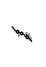 C/C=C/Oc1ccc(CCc2ccc(-c3ccc(CCCCC)cc3)c(F)c2)c(F)c1F